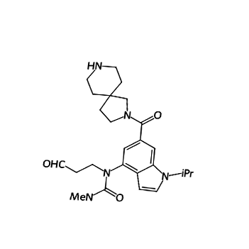 CNC(=O)N(CCC=O)c1cc(C(=O)N2CCC3(CCNCC3)C2)cc2c1ccn2C(C)C